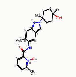 CCC1(O)CCC(C#N)(n2cc3cc(NC(=O)c4cccc(C)[n+]4[O-])c(OC)cc3n2)CC1